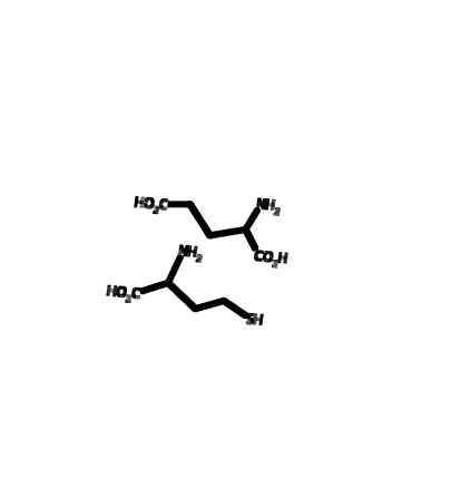 NC(CCC(=O)O)C(=O)O.NC(CCS)C(=O)O